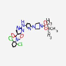 CC(C)(C)OC(=O)N1CCN(c2ccc(Nc3ncc4c(n3)OCN(c3c(Cl)cccc3Cl)C4=O)cn2)CC1